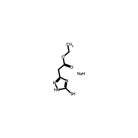 CCOC(=O)Cc1n[nH]c(S)n1.[NaH]